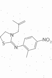 C=C(C)CN1CCSC1=Nc1ccc([N+](=O)[O-])cc1C